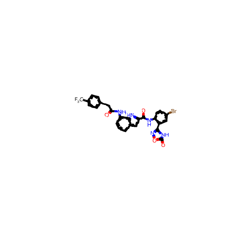 O=C(Cc1ccc(C(F)(F)F)cc1)Nc1cccc2cc(C(=O)Nc3ccc(Br)cc3-c3noc(=O)[nH]3)[nH]c12